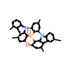 Cc1cc2c3c(c1)-n1c4cccc(C)c4c4c(C)cc5c(c41)P3(=O)c1c(cc(C)c3c4cc(C)ccc4n-2c13)O5